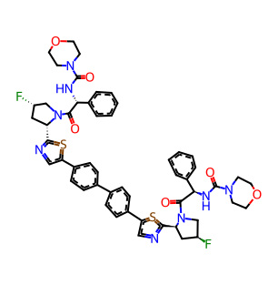 O=C(N[C@@H](C(=O)N1C[C@@H](F)C[C@H]1c1ncc(-c2ccc(-c3ccc(-c4cnc([C@@H]5C[C@H](F)CN5C(=O)[C@H](NC(=O)N5CCOCC5)c5ccccc5)s4)cc3)cc2)s1)c1ccccc1)N1CCOCC1